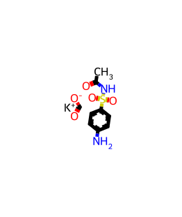 CC(=O)NS(=O)(=O)c1ccc(N)cc1.O=C[O-].[K+]